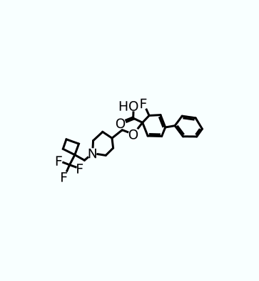 O=C(O)C1(OCC2CCN(CC3(C(F)(F)F)CCC3)CC2)C=CC(c2ccccc2)=CC1F